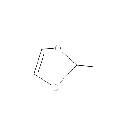 CCC1O[C]=CO1